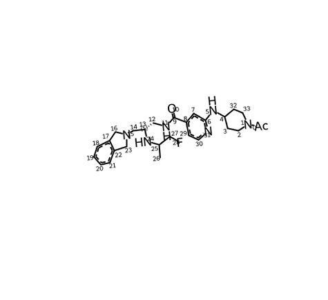 CC(=O)N1CCC(Nc2cc(C(=O)NC[C@@H](CN3Cc4ccccc4C3)NC(C)CF)ccn2)CC1